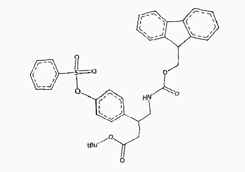 CC(C)(C)OC(=O)CC(CNC(=O)OCC1c2ccccc2-c2ccccc21)c1ccc(OS(=O)(=O)c2ccccc2)cc1